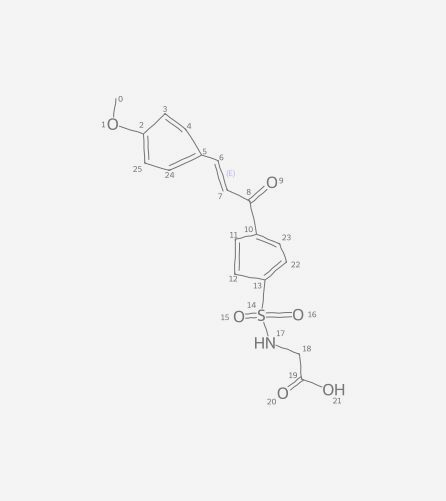 COc1ccc(/C=C/C(=O)c2ccc(S(=O)(=O)NCC(=O)O)cc2)cc1